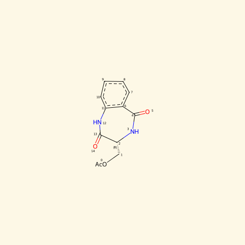 CC(=O)OC[C@H]1NC(=O)c2ccccc2NC1=O